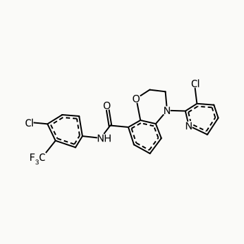 O=C(Nc1ccc(Cl)c(C(F)(F)F)c1)c1cccc2c1OCCN2c1ncccc1Cl